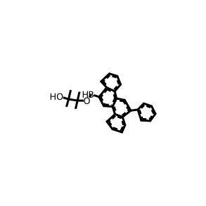 CC(C)(O)C(C)(C)OBc1cc2c3ccccc3c(-c3ccccc3)cc2c2ccccc12